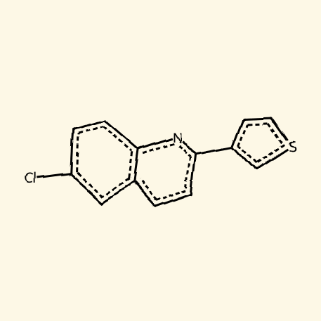 Clc1ccc2nc(-c3ccsc3)ccc2c1